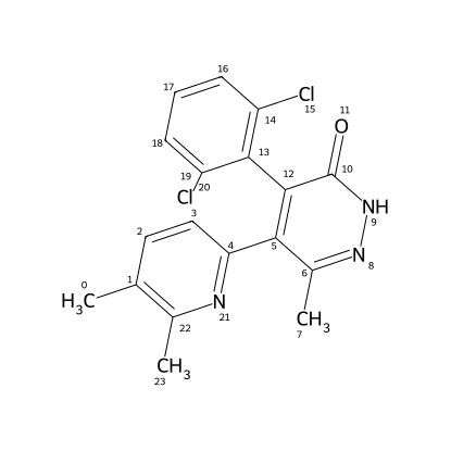 Cc1ccc(-c2c(C)n[nH]c(=O)c2-c2c(Cl)cccc2Cl)nc1C